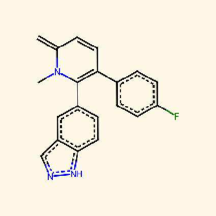 C=C1C=CC(c2ccc(F)cc2)=C(c2ccc3[nH]ncc3c2)N1C